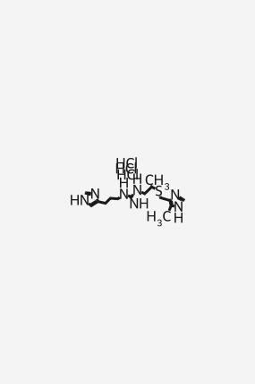 Cc1[nH]cnc1CS[C@H](C)CNC(=N)NCCCc1c[nH]cn1.Cl.Cl.Cl